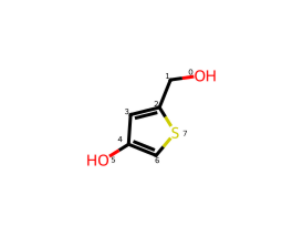 OCc1cc(O)cs1